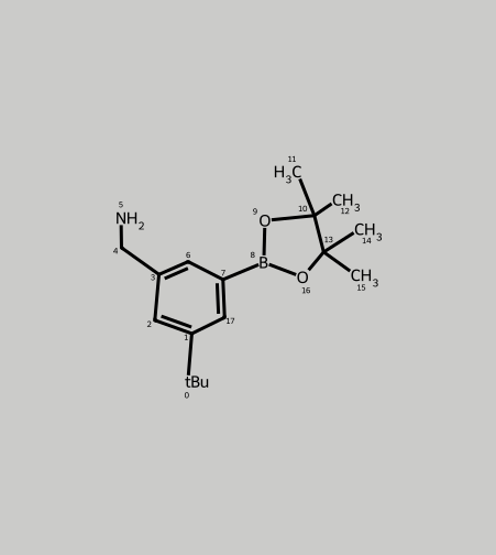 CC(C)(C)c1cc(CN)cc(B2OC(C)(C)C(C)(C)O2)c1